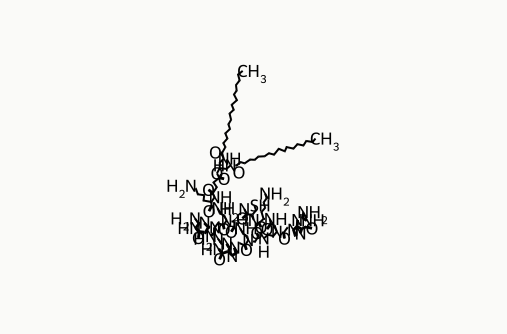 CCCCCCCCCCCCCCCCCC(=O)NCC(CNC(=O)CCCCCCCCCCCCCCCCC)OC(=O)CCC(=O)NC(CCCCN)C(=O)NCCN(CC(=O)NCCN(CC(=O)NCCN(CC(=O)NC(CCCCN)C(=O)NC(CS)C(N)=O)C(=O)Cn1cnc2c(=O)[nH]c(N)nc21)C(=O)Cn1cnc2c(=O)[nH]c(N)nc21)C(=O)Cn1cnc2c(=O)[nH]c(N)nc21